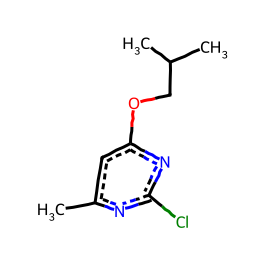 Cc1cc(OCC(C)C)nc(Cl)n1